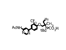 CC(=O)Nc1cc(-c2ccc(OC[C@](C)(CC(C)C)N(C(=O)O)C(C)(C)C)c(C(F)(F)F)c2)ncn1